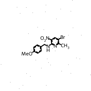 COc1ccc(CNc2nc(C)c(Br)cc2[N+](=O)[O-])cc1